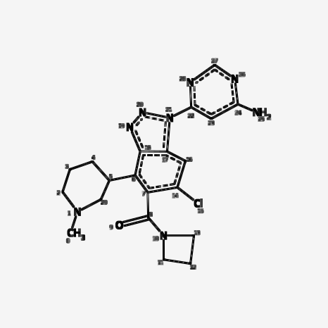 CN1CCCC(c2c(C(=O)N3CCC3)c(Cl)cc3c2nnn3-c2cc(N)ncn2)C1